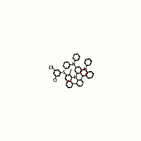 Fc1c(Sc2cc(Cl)cc(Cl)c2)cccc1N(c1cc(N(c2ccccc2)c2ccccc2)cc(N(c2ccccc2)c2ccccc2)c1)c1c(-c2ccccc2)cccc1-c1ccccc1